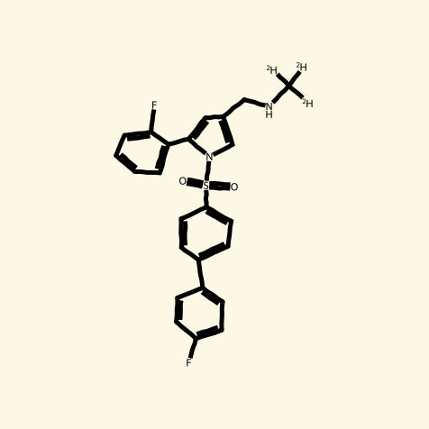 [2H]C([2H])([2H])NCc1cc(-c2ccccc2F)n(S(=O)(=O)c2ccc(-c3ccc(F)cc3)cc2)c1